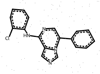 Clc1ccccc1Nc1ncc(-c2ccccc2)n2cncc12